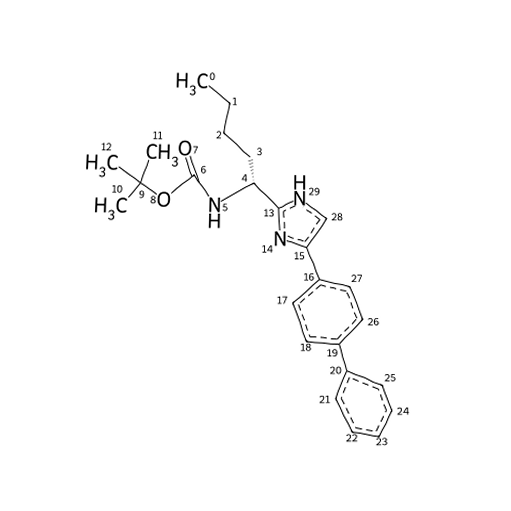 CCCC[C@@H](NC(=O)OC(C)(C)C)c1nc(-c2ccc(-c3ccccc3)cc2)c[nH]1